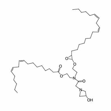 CCCCC/C=C\C/C=C\CCCCCCCC(=O)OCCN(CCOC1OC1CCCCCCC/C=C\C/C=C\CCCCC)C(=O)CN1CC(O)C1